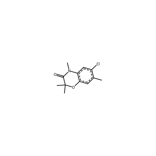 Cc1cc2c(cc1Cl)N(C)C(=O)C(C)(C)O2